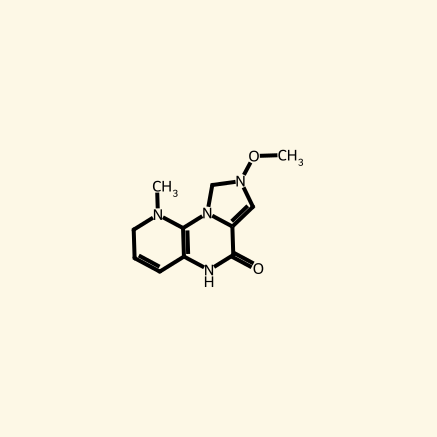 CON1C=C2C(=O)NC3=C(N(C)CC=C3)N2C1